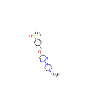 C[S+]([O-])c1ccc(COc2cnc(N3CCN(C(=O)O)CC3)nc2)cc1